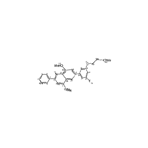 CNc1nc(-c2cccnc2)nc2c(OC)cc(-c3cc(F)cc(OCCOC)c3)cc12